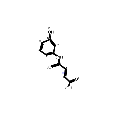 O=C(O)/C=C/C(=O)Nc1cccc(O)c1